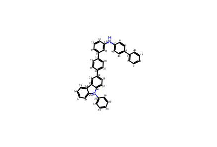 c1ccc(-c2ccc(Nc3cccc(-c4ccc(-c5ccc6c(c5)c5ccccc5n6-c5ccccc5)cc4)c3)cc2)cc1